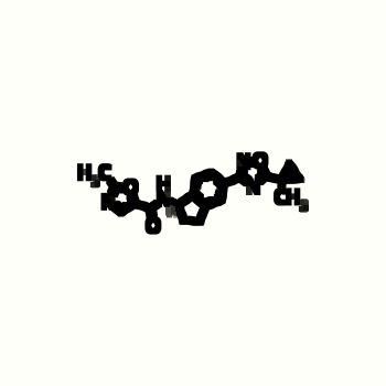 Cc1ncc(C(=O)N[C@@H]2CCc3cc(-c4noc(C5(C)CC5)n4)ccc32)o1